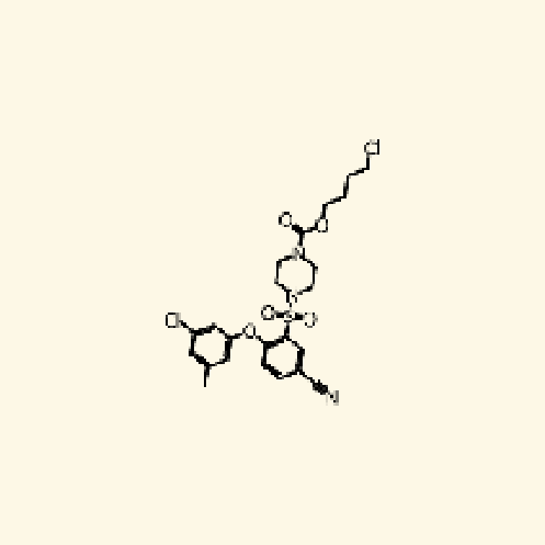 Cc1cc(Cl)cc(Oc2ccc(C#N)cc2S(=O)(=O)N2CCN(C(=O)OCCCCCl)CC2)c1